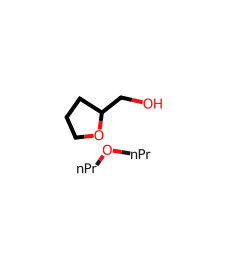 CCCOCCC.OCC1CCCO1